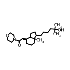 CC(C)(O)CCCCC1CCC2/C(=C/C(=O)N3CCOCC3)CCCC12C